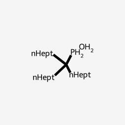 CCCCCCCC(P)(CCCCCCC)CCCCCCC.O